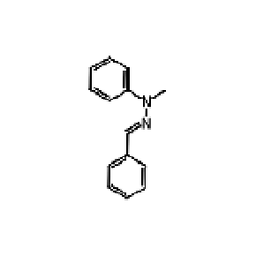 CN(N=Cc1ccccc1)c1ccccc1